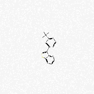 CC(C)(C)c1cccc(-c2csc3ccccc23)c1